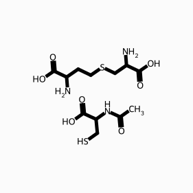 CC(=O)NC(CS)C(=O)O.NC(CCSCC(N)C(=O)O)C(=O)O